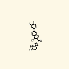 Cc1ccc(-c2ccc3c(Cl)c(C(=O)N4CC5(CCC(=O)N5)C4)sc3c2)cc1F